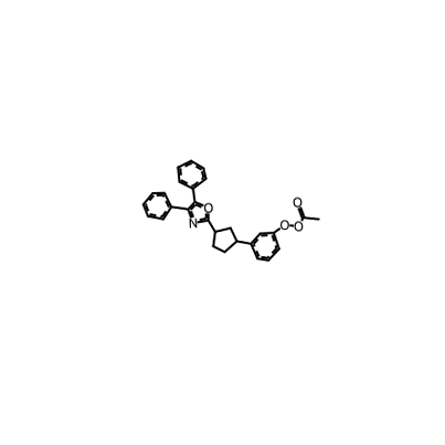 CC(=O)OOc1cccc(C2CCC(c3nc(-c4ccccc4)c(-c4ccccc4)o3)C2)c1